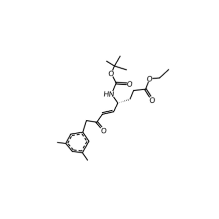 CCOC(=O)CC[C@H](C=CC(=O)Cc1cc(C)cc(C)c1)NC(=O)OC(C)(C)C